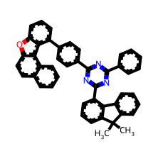 CC1(C)c2ccccc2-c2c(-c3nc(-c4ccccc4)nc(-c4ccc(-c5cccc6oc7ccc8ccccc8c7c56)cc4)n3)cccc21